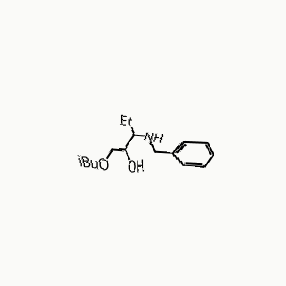 CCC(NCc1ccccc1)C(O)COCC(C)C